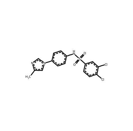 Cc1cn(-c2ccc(NS(=O)(=O)c3ccc(Cl)c(Cl)c3)cc2)cn1